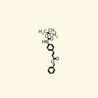 CC(C)(C)OC(=O)Nc1ccc(/C=C/C(=O)OCc2ccccc2)cc1